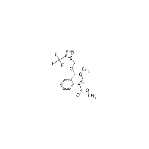 CO/C=C(/C(=O)OC)c1ccccc1COCS1=NC=C1C(F)(F)F